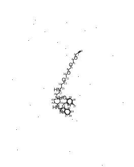 C#CCOCCOCCOCCOCCCNCCN1CCC(Nc2nc3ccccc3n2Cc2nc(C)ccc2O)CC1